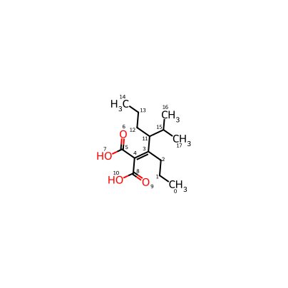 CCCC(=C(C(=O)O)C(=O)O)C(CCC)C(C)C